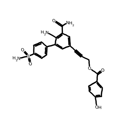 NC(=O)c1cc(C#CCOC(=O)c2ccc(O)cc2)cc(-c2ccc(S(N)(=O)=O)cc2)c1N